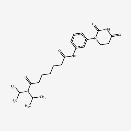 CC(C)N(C(=O)CCCCCC(=O)Nc1cccc(N2CCC(=O)NC2=O)c1)C(C)C